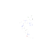 CCC[C@@H](c1ccc(-c2c(-n3cnnn3)ccc(Cl)c2F)c[n+]1[O-])n1cc(-c2ccc(NC(=O)OC)cc2)cn1